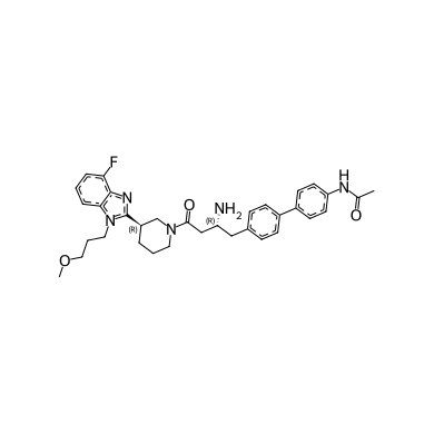 COCCCn1c([C@@H]2CCCN(C(=O)C[C@H](N)Cc3ccc(-c4ccc(NC(C)=O)cc4)cc3)C2)nc2c(F)cccc21